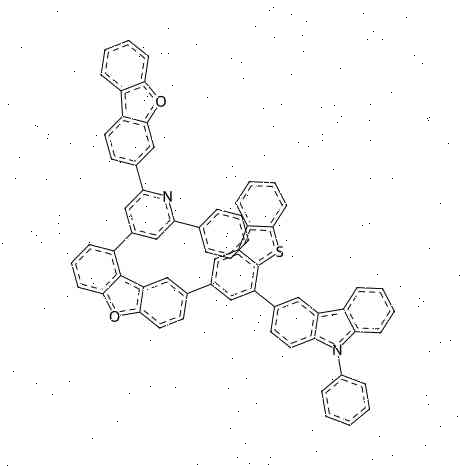 c1ccc(-c2cc(-c3cccc4oc5ccc(-c6cc(-c7ccc8c(c7)c7ccccc7n8-c7ccccc7)c7sc8ccccc8c7c6)cc5c34)cc(-c3ccc4c(c3)oc3ccccc34)n2)cc1